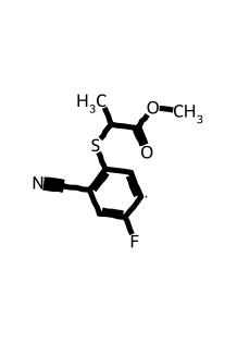 COC(=O)C(C)Sc1c[c]c(F)cc1C#N